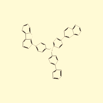 c1ccc(-c2ccc(N(c3ccc(-c4ccc5ccccc5c4)cc3)c3ccc(-c4cccc5c4oc4ccccc45)cc3)cc2)cc1